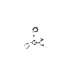 CCN(c1ccc(C(CC(=O)OC)C2CC2)cc1NC(=O)Nc1ccc(C)cc1)C1CCOCC1